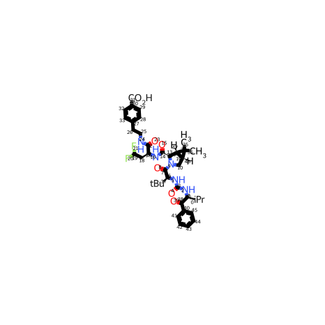 CC(C)[C@H](NC(=O)N[C@H](C(=O)N1C[C@H]2[C@@H]([C@H]1C(=O)N[C@@H](CC(F)F)C(=O)NCCc1ccc(C(=O)O)cc1)C2(C)C)C(C)(C)C)C(=O)c1ccccc1